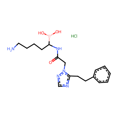 Cl.NCCCCC(NC(=O)Cn1ncnc1CCc1ccccc1)B(O)O